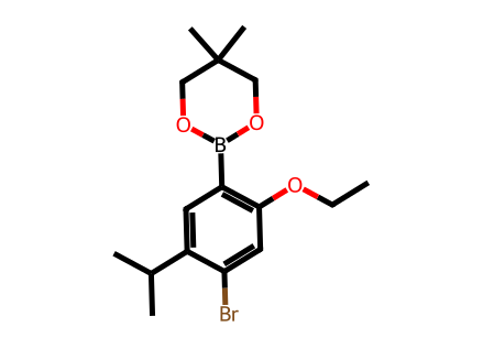 CCOc1cc(Br)c(C(C)C)cc1B1OCC(C)(C)CO1